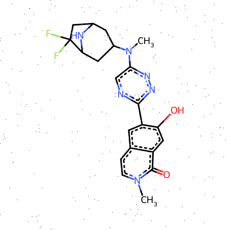 CN(c1cnc(-c2cc3ccn(C)c(=O)c3cc2O)nn1)C1CC2CC(F)(F)C(C1)N2